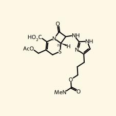 CNC(=O)OCCCc1c[nH]c(NC2C(=O)N3C(C(=O)O)=C(COC(C)=O)CS[C@@H]23)n1